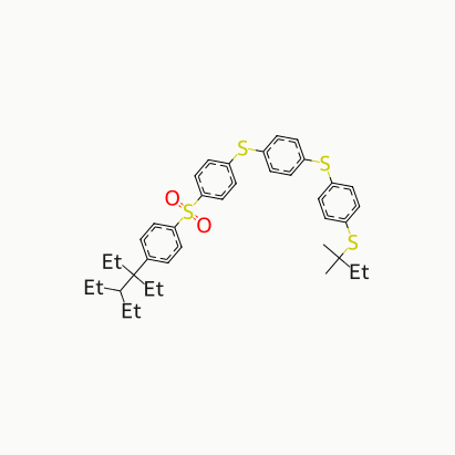 CCC(CC)C(CC)(CC)c1ccc(S(=O)(=O)c2ccc(Sc3ccc(Sc4ccc(SC(C)(C)CC)cc4)cc3)cc2)cc1